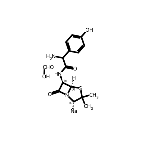 CC1(C)S[C@@H]2[C@H](NC(=O)C(N)c3ccc(O)cc3)C(=O)N2[C@H]1[Na].O=CO